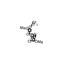 COc1cc(Cl)nc([C@]23CCN(C(=O)c4ccc(OCCOC(F)(F)F)c(OC)c4)CC2OCO3)c1